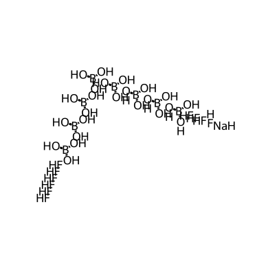 F.F.F.F.F.F.F.F.F.F.OB(O)O.OB(O)O.OB(O)O.OB(O)O.OB(O)O.OB(O)O.OB(O)O.OB(O)O.[NaH]